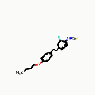 CCCCOc1ccc(CCc2ccc(N=C=S)c(F)c2)cc1